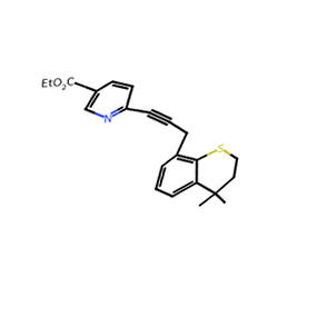 CCOC(=O)c1ccc(C#CCc2cccc3c2SCCC3(C)C)nc1